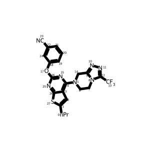 CCCc1cc2c(N3CCn4c(nnc4C(F)(F)F)C3)nc(Oc3cccc(C#N)c3)nc2s1